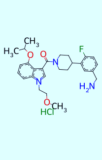 COCCn1cc(C(=O)N2CCC(c3cc(CN)ccc3F)CC2)c2c(OC(C)C)cccc21.Cl